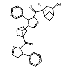 O=C([C@H]1CC(O)C2CC1C2)N1N=CC(C2C3CCC2(C(=O)N2N=CCC2c2ccccc2)C3)C1c1ccccc1